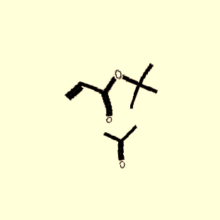 C=CC(=O)OC(C)(C)C.CC(C)=O